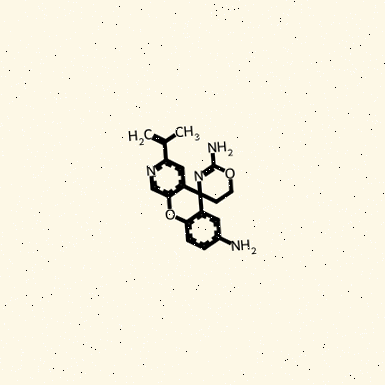 C=C(C)c1cc2c(cn1)Oc1ccc(N)cc1C21CCOC(N)=N1